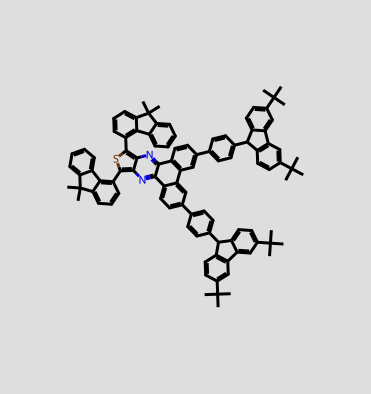 CC(C)(C)c1ccc2c(c1)-c1cc(C(C)(C)C)ccc1C2c1ccc(-c2ccc3c(c2)c2cc(-c4ccc(C5c6ccc(C(C)(C)C)cc6-c6cc(C(C)(C)C)ccc65)cc4)ccc2c2nc4c(-c5cccc6c5-c5ccccc5C6(C)C)sc(-c5cccc6c5-c5ccccc5C6(C)C)c4nc32)cc1